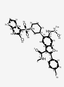 CNC(=O)c1c(-c2ccc(F)cc2)oc2cc(N[S@+](C)[O-])c([C@@H]3CCCN(S(=O)(=O)c4c(Cl)nc5sccn45)C3)cc12